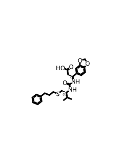 CC(C)[C@@H](CSCCCc1ccccc1)NC(=O)N[C@@H](CC(=O)O)c1ccc2c(c1)OCO2